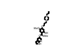 C=CCN1CCN(CCCOC2=CC(=N)/C(=C(\NC)Oc3cnc4[nH]ccc4c3)C=C2OC)CC1